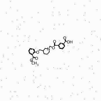 COC(=O)c1ccccc1OCC1CCCN(COC(=O)c2cccc(C(=O)O)c2)C1